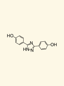 Oc1ccc(-c2n[nH]c(-c3ccc(O)cc3)n2)cc1